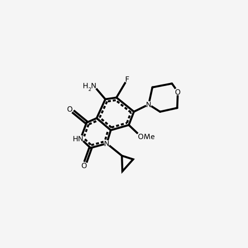 COc1c(N2CCOCC2)c(F)c(N)c2c(=O)[nH]c(=O)n(C3CC3)c12